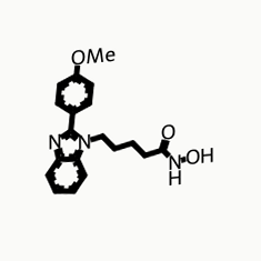 COc1ccc(-c2nc3ccccc3n2CCCCC(=O)NO)cc1